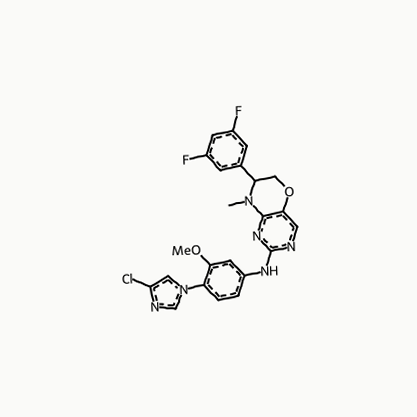 COc1cc(Nc2ncc3c(n2)N(C)C(c2cc(F)cc(F)c2)CO3)ccc1-n1cnc(Cl)c1